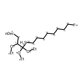 CCCCCCCCCCCC(OCC)C(OCC)(OCC)[SiH2]CCCCCCCCF